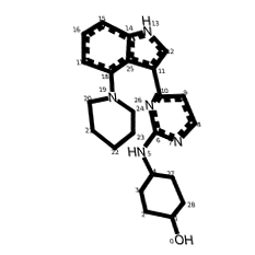 OC1CCC(Nc2nccc(-c3c[nH]c4cccc(N5CCCCC5)c34)n2)CC1